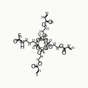 C=CC(=O)OCCO[Si]1(C)O[Si](C)(CCCNC(=O)F)O[Si](C)(OCCOC(=O)C=C)O[Si](C)(OCCOC(=O)C=C)O1